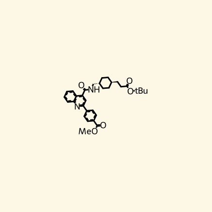 COC(=O)c1ccc(-c2cc(C(=O)NC[C@H]3CC[C@H](CCC(=O)OC(C)(C)C)CC3)c3ccccc3n2)cc1